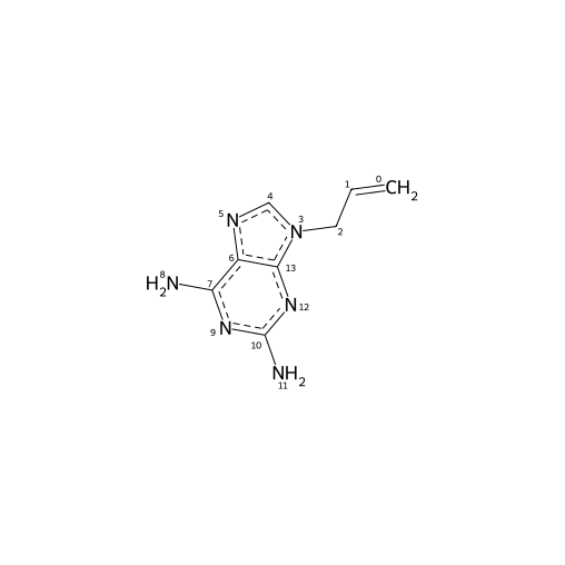 C=CCn1cnc2c(N)nc(N)nc21